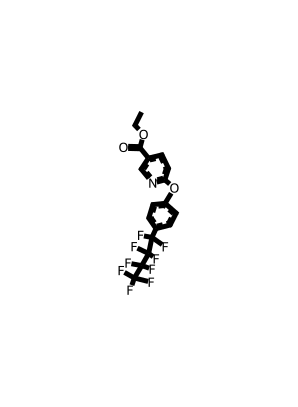 CCOC(=O)c1ccc(Oc2ccc(C(F)(F)C(F)(F)C(F)(F)C(F)(F)F)cc2)nc1